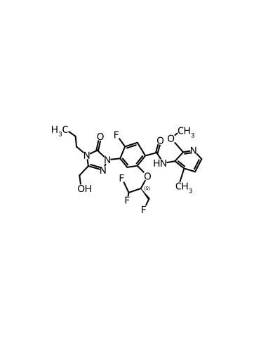 CCCn1c(CO)nn(-c2cc(O[C@@H](CF)C(F)F)c(C(=O)Nc3c(C)ccnc3OC)cc2F)c1=O